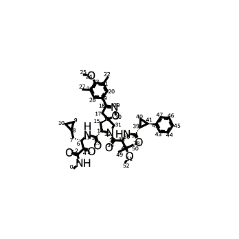 CNC(=O)C(=O)[C@H](CC1CC1)NC(=O)[C@@H]1C[C@]2(CC(c3cc(C)c(OC)c(C)c3)=NO2)CN1C(=O)[C@@H](NC(=O)[C@@H]1C[C@H]1c1ccccc1)C(C)(C)OC